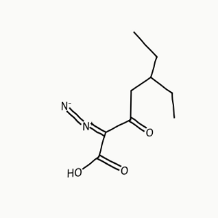 CCC(CC)CC(=O)C(=[N+]=[N-])C(=O)O